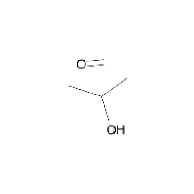 C=O.CC(C)O